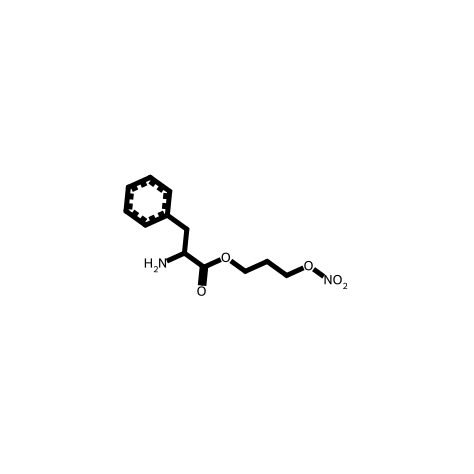 NC(Cc1ccccc1)C(=O)OCCCO[N+](=O)[O-]